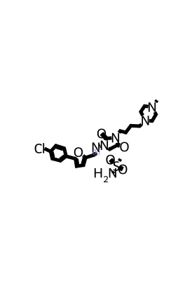 CN1CCN(CCCCN2C(=O)CN(/N=C/c3ccc(-c4ccc(Cl)cc4)o3)C2=O)CC1.CS(N)(=O)=O